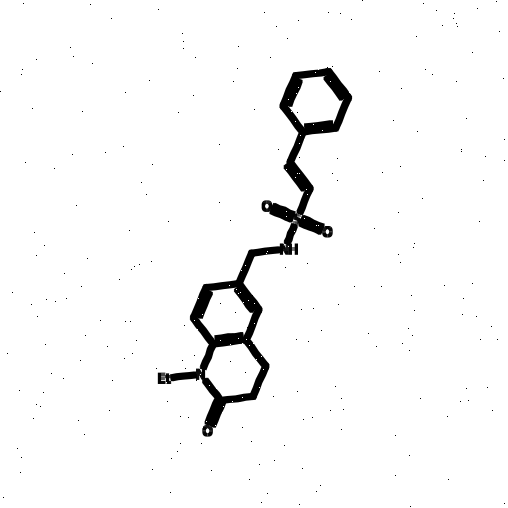 CCN1C(=O)CCc2cc(CNS(=O)(=O)/C=C/c3ccccc3)ccc21